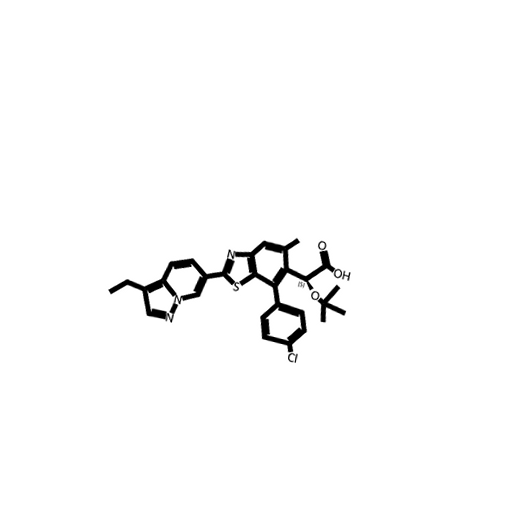 CCc1cnn2cc(-c3nc4cc(C)c([C@H](OC(C)(C)C)C(=O)O)c(-c5ccc(Cl)cc5)c4s3)ccc12